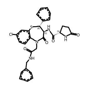 O=C(CN1C(=O)[C@H](NC(=O)[C@@H]2CCC(=O)N2)[C@@H](c2ccccc2)Sc2cc(Cl)ccc21)NCc1ccccc1